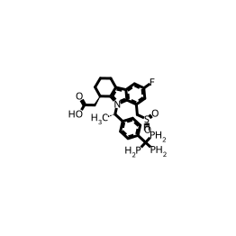 C[C@@H](c1ccc(C(P)(P)P)cc1)n1c2c(c3cc(F)cc(C[SH](=O)=O)c31)CCC[C@@H]2CC(=O)O